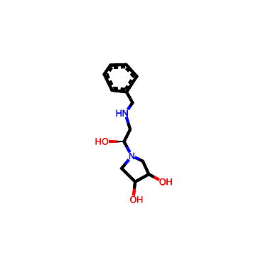 OC1CN([C@@H](O)CNCc2ccccc2)CC1O